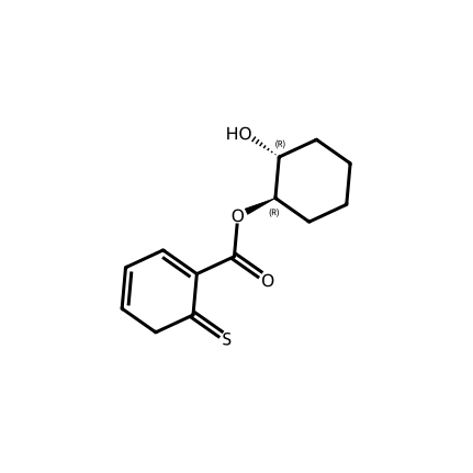 O=C(O[C@@H]1CCCC[C@H]1O)C1=CC=CCC1=S